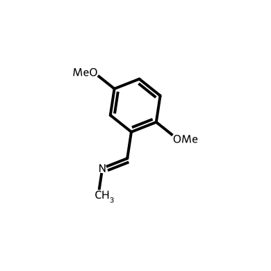 CN=Cc1cc(OC)ccc1OC